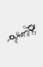 O=C(NCCCNc1c(Cl)cncc1Cl)Nc1cccc(F)c1